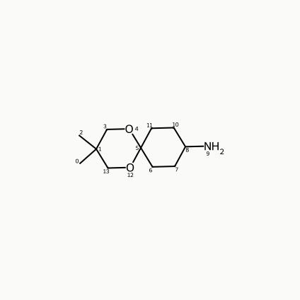 CC1(C)COC2(CCC(N)CC2)OC1